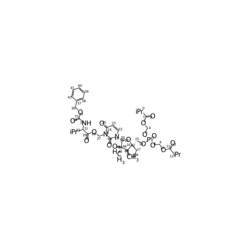 CC(C)C(=O)OCOP(=O)(OCOC(=O)C(C)C)OC[C@@]1(CF)O[C@@H](n2ccc(=O)n(COC(=O)C(NC(=O)OCc3ccccc3)C(C)C)c2=O)[C@](C)(O)[C@@H]1C